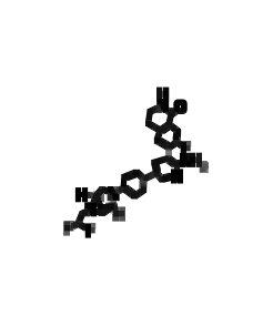 Nc1ncc(-c2ccc(N3C[C@@H]4C[C@H]3CN4CC(F)F)cc2)cc1-c1cc2c(cc1F)C(=O)NCC2